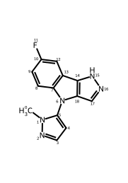 Cn1nccc1-n1c2ccc(F)cc2c2[nH]ncc21